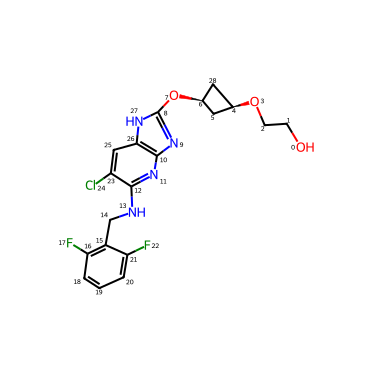 OCCO[C@H]1C[C@@H](Oc2nc3nc(NCc4c(F)cccc4F)c(Cl)cc3[nH]2)C1